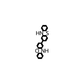 c1ccc2c(c1)Nc1cc(-c3ccc4c(c3)Nc3ccccc3S4)ccc1O2